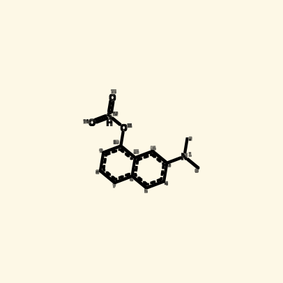 CN(C)c1ccc2cccc(O[SH](=O)=O)c2c1